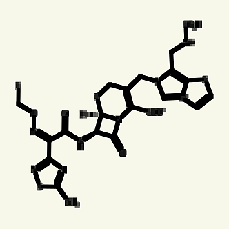 Nc1nc(/C(=N/OCF)C(=O)N[C@@H]2C(=O)N3C(C(=O)[O-])=C(Cn4c[n+]5ccsc5c4CNS(=O)(=O)O)CS[C@H]23)ns1